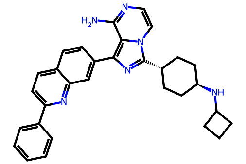 Nc1nccn2c1c(-c1ccc3ccc(-c4ccccc4)nc3c1)nc2[C@H]1CC[C@H](NC2CCC2)CC1